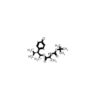 CC(C)[C@@H](c1ccc(Cl)cc1)[C@H](C)OC(=O)[C@H](C)NC(=O)OC(C)(C)C